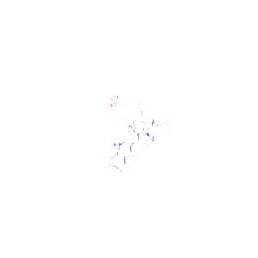 Nc1c(C2CC2)c(C2CCS(=O)(=O)CC2)nc2c(-c3cnc4ccccc4c3)cnn12